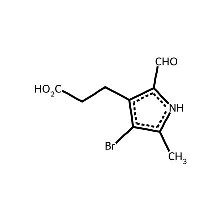 Cc1[nH]c(C=O)c(CCC(=O)O)c1Br